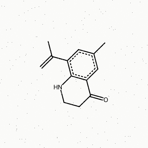 C=C(C)c1cc(C)cc2c1NCCC2=O